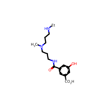 CCNCCCN(C)CCCNC(=O)c1cc(O)cc(C(=O)O)c1